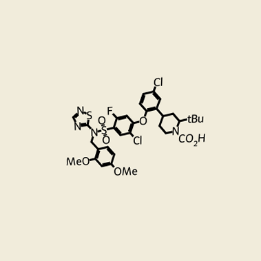 COc1ccc(CN(c2ncns2)S(=O)(=O)c2cc(Cl)c(Oc3ccc(Cl)cc3C3CCN(C(=O)O)C(C(C)(C)C)C3)cc2F)c(OC)c1